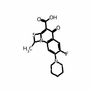 CC1Sc2c(C(=O)O)c(=O)c3cc(F)c(N4CCCCC4)cc3n21